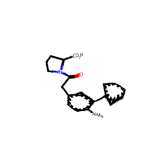 CNc1ccc(CC(=O)N2CCCC2C(=O)O)cc1-c1ccccc1